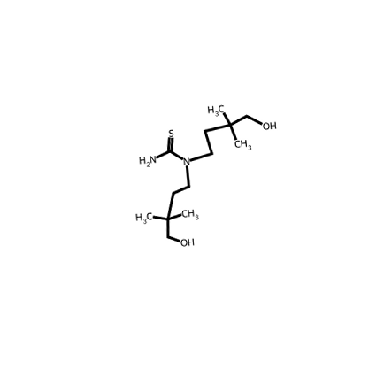 CC(C)(CO)CCN(CCC(C)(C)CO)C(N)=S